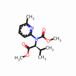 COC(=O)[C@H](C(C)C)N(C(=O)OC)c1cccc(C)n1